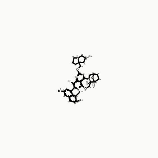 Oc1cc(-c2nc3c4c(nc(OCC56CCCN5C[C@H](F)C6)nc4c2F)N2CC4CC[C@H](N4)[C@@H]2CO3)c2c(F)c(F)ccc2c1